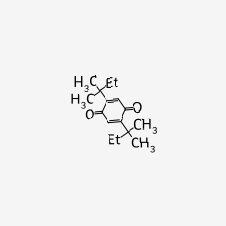 CCC(C)(C)C1=CC(=O)C(C(C)(C)CC)=CC1=O